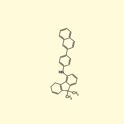 CC1(C)C2=C(CCC=C2)c2c(Nc3ccc(-c4ccc5ccccc5c4)cc3)cccc21